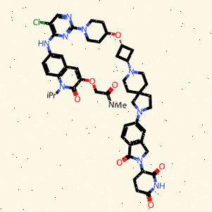 CNC(=O)COc1cc2cc(Nc3nc(N4CCC(O[C@H]5C[C@H](N6CCC7(CCN(c8ccc9c(c8)CN(C8CCC(=O)NC8=O)C9=O)C7)CC6)C5)CC4)ncc3Cl)ccc2n(C(C)C)c1=O